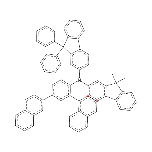 CC1(C)c2ccccc2-c2ccc(N(c3ccc4c(c3)C(c3ccccc3)(c3ccccc3)c3ccccc3-4)c3ccc(-c4ccc5ccccc5c4)cc3-c3cccc4ccccc34)cc21